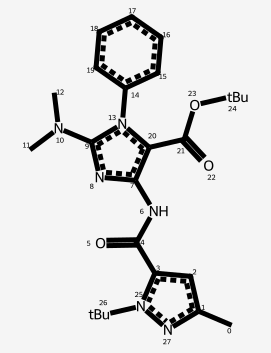 Cc1cc(C(=O)Nc2nc(N(C)C)n(-c3ccccc3)c2C(=O)OC(C)(C)C)n(C(C)(C)C)n1